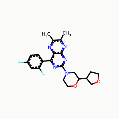 Cc1nc2nc(N3CCOC([C@H]4CCOC4)C3)nc(-c3ccc(F)cc3F)c2nc1C